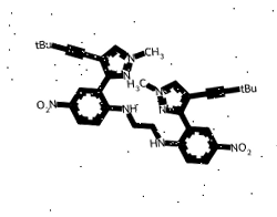 Cn1cc(C#CC(C)(C)C)c(-c2cc([N+](=O)[O-])ccc2NCCNc2ccc([N+](=O)[O-])cc2-c2nn(C)cc2C#CC(C)(C)C)n1